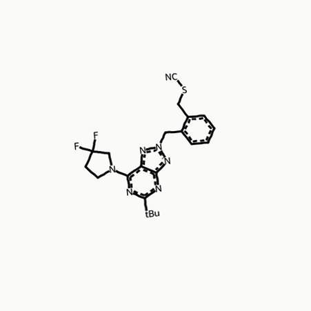 CC(C)(C)c1nc(N2CCC(F)(F)C2)c2nn(Cc3ccccc3CSC#N)nc2n1